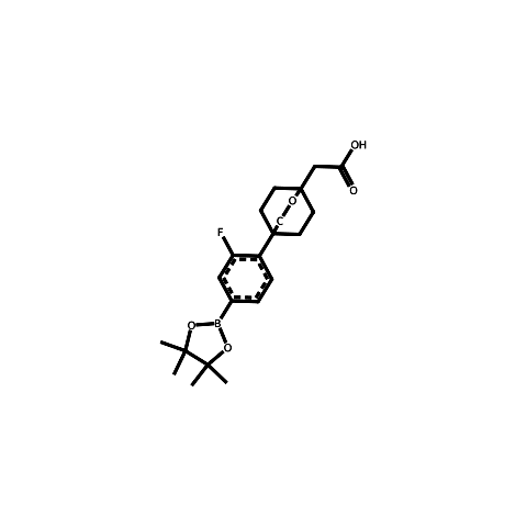 CC1(C)OB(c2ccc(C34CCC(CC(=O)O)(CC3)OC4)c(F)c2)OC1(C)C